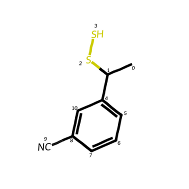 CC(SS)c1cccc(C#N)c1